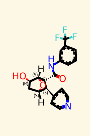 O=C(Nc1cccc(C(F)(F)F)c1)[C@H]1[C@@H]2O[C@@H](C[C@H]2O)[C@@H]1c1ccncc1